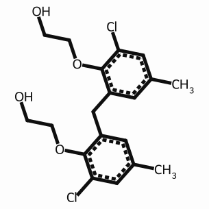 Cc1cc(Cl)c(OCCO)c(Cc2cc(C)cc(Cl)c2OCCO)c1